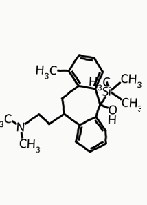 Cc1cccc2c1CC(CCN(C)C)c1ccccc1C2(O)[Si](C)(C)C